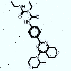 CCNC(=O)N(CC)C(=O)Nc1ccc(-c2nc3c(c(N4CCOCC4C)n2)CCOC3)cc1